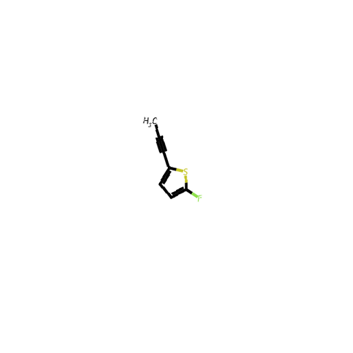 CC#Cc1ccc(F)s1